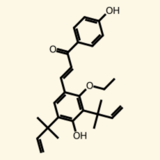 C=CC(C)(C)c1cc(C=CC(=O)c2ccc(O)cc2)c(OCC)c(C(C)(C)C=C)c1O